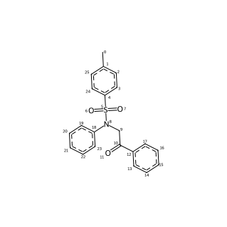 Cc1ccc(S(=O)(=O)N(CC(=O)c2ccccc2)c2ccccc2)cc1